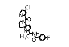 CC(NC(=O)c1ccc(F)cc1)c1ccc2c(n1)CCCN2C(=O)c1cc(Cl)ccn1